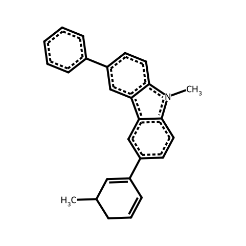 CC1C=C(c2ccc3c(c2)c2cc(-c4ccccc4)ccc2n3C)C=CC1